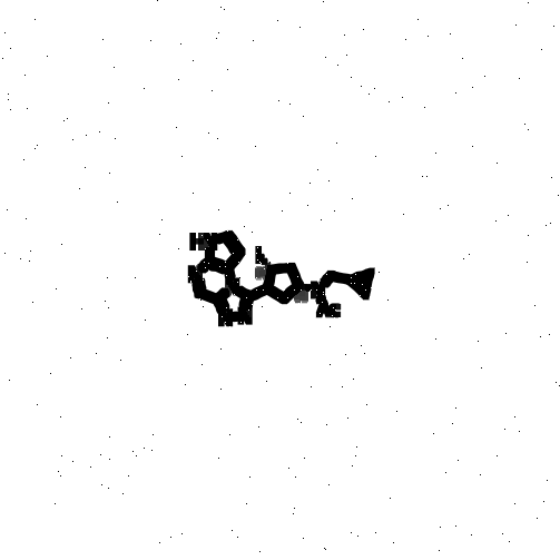 CC(=O)N(CC1CC1)[C@@H]1CC(c2nnc3cnc4[nH]ccc4n23)[C@H](I)C1